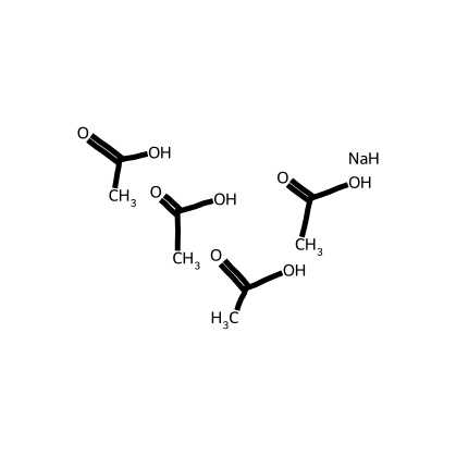 CC(=O)O.CC(=O)O.CC(=O)O.CC(=O)O.[NaH]